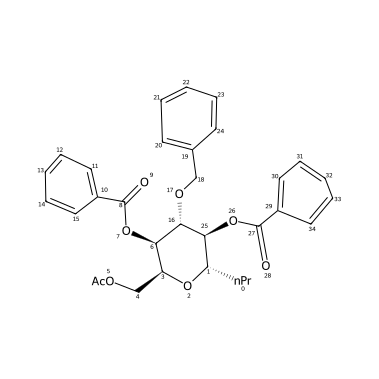 CCC[C@@H]1O[C@@H](COC(C)=O)[C@@H](OC(=O)c2ccccc2)[C@H](OCc2ccccc2)[C@H]1OC(=O)c1ccccc1